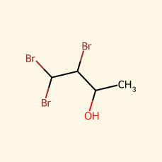 CC(O)C(Br)C(Br)Br